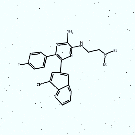 CCN(CC)CCNc1nc(-c2cc(Cl)c3ncccc3c2)c(-c2ccc(F)cc2)nc1N